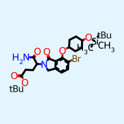 CC(C)(C)OC(=O)CCC(C(N)=O)N1Cc2ccc(Br)c(OC3CCC(O[Si](C)(C)C(C)(C)C)CC3)c2C1=O